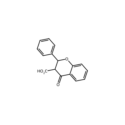 O=C(O)C1C(=O)c2ccccc2OC1c1ccccc1